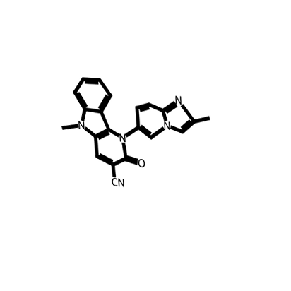 Cc1cn2cc(-n3c(=O)c(C#N)cc4c3c3ccccc3n4C)ccc2n1